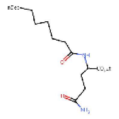 CCCCCCCCCCCCCCCC(=O)NC(CCC(N)=O)C(=O)OCC